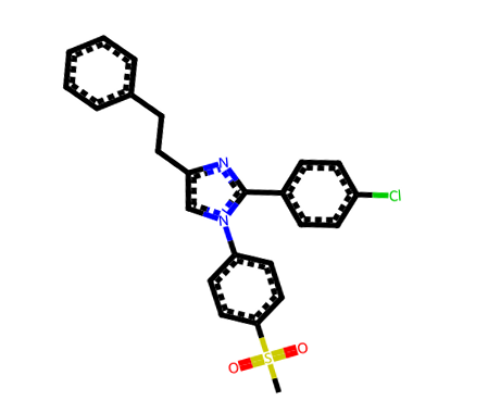 CS(=O)(=O)c1ccc(-n2cc(CCc3ccccc3)nc2-c2ccc(Cl)cc2)cc1